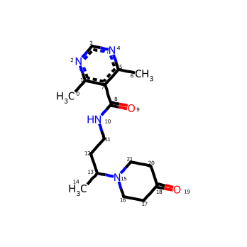 Cc1ncnc(C)c1C(=O)NCCC(C)N1CCC(=O)CC1